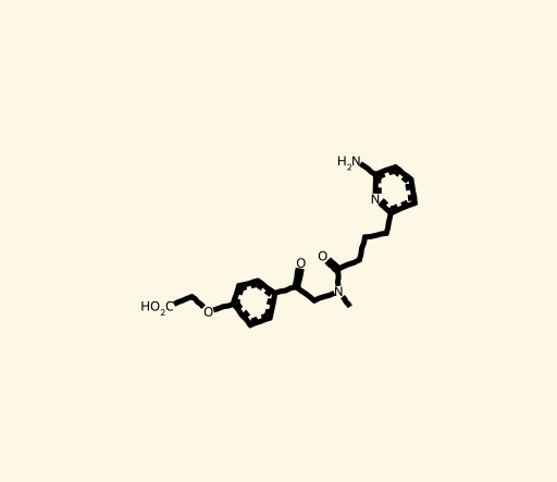 CN(CC(=O)c1ccc(OCC(=O)O)cc1)C(=O)CCCc1cccc(N)n1